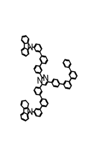 C1=Cc2c(n(-c3cccc(-c4cccc(-c5cccc(-c6cc(-c7ccc(-c8cccc(-c9cccc(-c%10ccccc%10)c9)c8)cc7)nc(-c7cccc(-c8cccc(-c9cccc(-n%10c%11ccccc%11c%11ccccc%11%10)c9)c8)c7)n6)c5)c4)c3)c3ccccc23)CC1